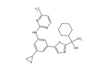 CC(O)(c1ncc(-c2cc(Nc3nccc(C(F)(F)F)n3)cc(C3CC3)c2)s1)C1CCCCC1